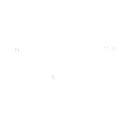 Cc1c(C(=O)O)cccc1-c1ccc(CC(C)C)cn1